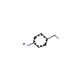 N=Nc1ccc(CBr)cc1